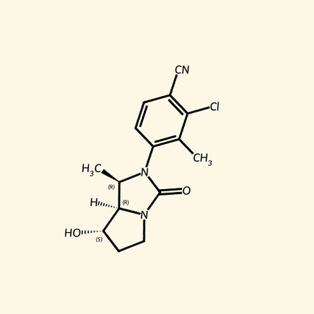 Cc1c(N2C(=O)N3CC[C@H](O)[C@H]3[C@H]2C)ccc(C#N)c1Cl